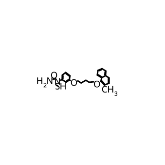 Cc1ccc2ccccc2c1OCCCCCOc1cccc(N(S)C(N)=O)c1